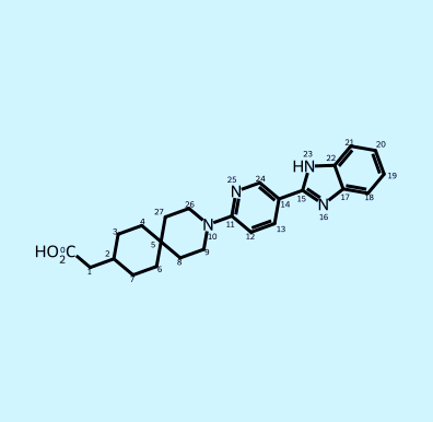 O=C(O)CC1CCC2(CC1)CCN(c1ccc(-c3nc4ccccc4[nH]3)cn1)CC2